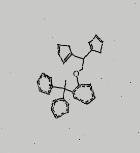 CC(c1ccccc1)(c1ccccc1)c1ccccc1OCC(C1=CC=CC1)C1=CC=CC1